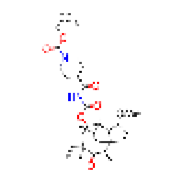 C=C[C@]1(C)C[C@@H](OC(=O)NC(=O)C2CCN(C(=O)OCC(Cl)(Cl)Cl)CC2)[C@@]2(C)C3[C@H](OC)CCC3(CC[C@H]2C)[C@@H](C)C1=O